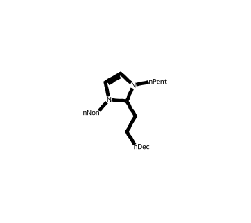 CCCCCCCCCCCCC1N(CCCCC)C=CN1CCCCCCCCC